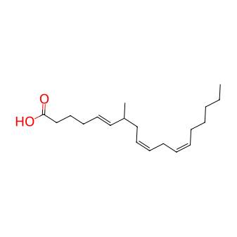 CCCCC/C=C\C/C=C\CC(C)/C=C/CCCC(=O)O